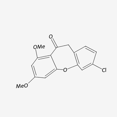 COc1cc(OC)c2c(c1)Oc1cc(Cl)ccc1CC2=O